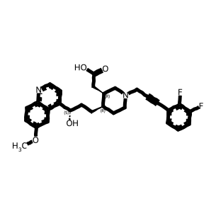 COc1ccc2nccc([C@@H](O)CC[C@@H]3CCN(CC#Cc4cccc(F)c4F)C[C@@H]3CC(=O)O)c2c1